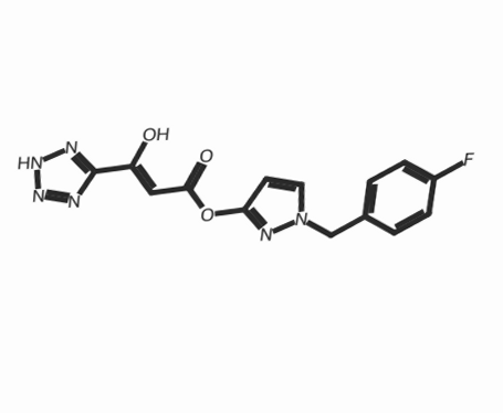 O=C(C=C(O)c1nn[nH]n1)Oc1ccn(Cc2ccc(F)cc2)n1